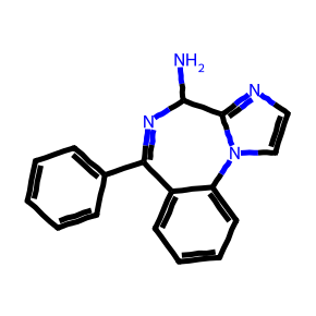 NC1N=C(c2ccccc2)c2ccccc2-n2ccnc21